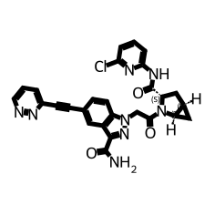 NC(=O)c1nn(CC(=O)N2[C@@H]3C[C@@H]3C[C@H]2C(=O)Nc2cccc(Cl)n2)c2ccc(C#Cc3cccnn3)cc12